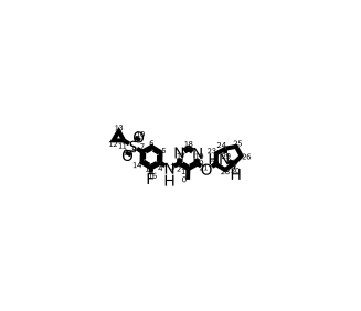 Cc1c(Nc2ccc(S(=O)(=O)C3CC3)cc2F)ncnc1OC1CC2CC[C@@H](C1)N2